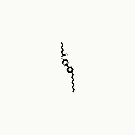 CCCC=CC(=O)Oc1cnc(-c2ccc(CCCCCCCC)cc2)nc1